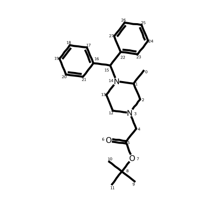 CC1CN(CC(=O)OC(C)(C)C)CCN1C(c1ccccc1)c1ccccc1